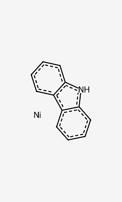 [Ni].c1ccc2c(c1)[nH]c1ccccc12